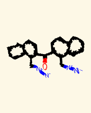 [N-]=[N+]=Cc1c(C(=O)c2ccc3ccccc3c2C=[N+]=[N-])ccc2ccccc12